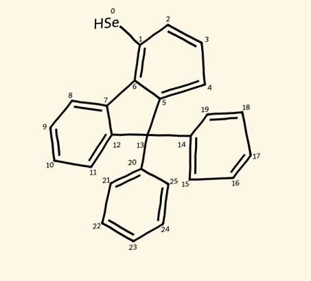 [SeH]c1cccc2c1-c1ccccc1C2(c1ccccc1)c1ccccc1